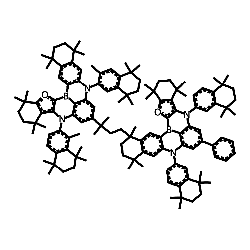 Cc1cc2c(cc1N1c3cc4c(cc3B3c5oc6c(c5N(c5ccc7c(c5C)C(C)(C)CCC7(C)C)c5cc(C(C)(C)CCC7(C)CCC(C)(C)c8cc9c(cc87)B7c8oc%10c(c8N(c8ccc%11c(c8)C(C)(C)CCC%11(C)C)c8cc(-c%11ccccc%11)cc(c87)N9c7ccc8c(c7)C(C)(C)CCC8(C)C)C(C)(C)CCC%10(C)C)cc1c53)C(C)(C)CCC6(C)C)C(C)(C)CCC4(C)C)C(C)(C)CCC2(C)C